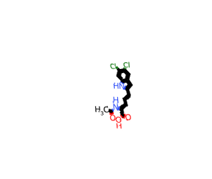 CC(=O)N/C(=C\C=C\c1cc2cc(Cl)c(Cl)cc2[nH]1)C(=O)O